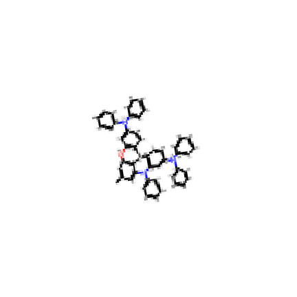 Cc1cc2c3c(c1)N(c1ccccc1)c1cc(N(c4ccccc4)c4ccccc4)ccc1B3c1ccc(N(c3ccccc3)c3ccccc3)cc1O2